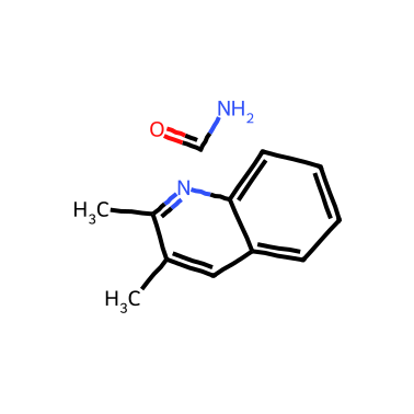 Cc1cc2ccccc2nc1C.NC=O